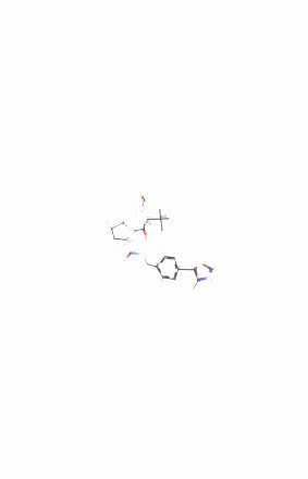 Cc1ncsc1-c1ccc(CNC(=O)[C@H]2C[C@H](O)CN2C(=O)[C@H](NC=O)C(C)(C)C)cc1